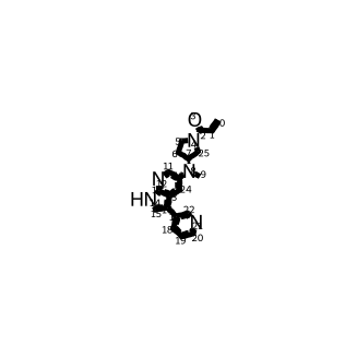 C=CC(=O)N1CC[C@H](N(C)c2cnc3[nH]cc(-c4cccnc4)c3c2)C1